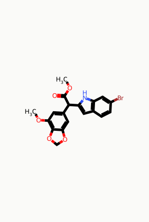 COC(=O)C(c1cc(OC)c2c(c1)OCO2)c1cc2ccc(Br)cc2[nH]1